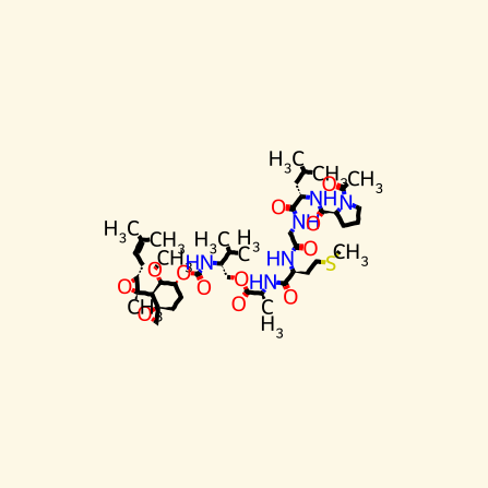 COC1[C@H](OC(=O)N[C@@H](COC(=O)[C@H](C)NC(=O)[C@H](CCSC)NC(=O)CNC(=O)[C@H](CC(C)C)NC(=O)[C@@H]2CCCN2C(C)=O)C(C)C)CC[C@]2(CO2)[C@H]1[C@@]1(C)O[C@@H]1CC=C(C)C